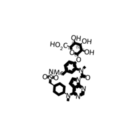 CNS(=O)(=O)C[C@H]1CC[C@H](N(C)c2ncnc3c2ccn3C(=O)N(C)c2cc(C)ccc2O[C@@H]2O[C@H](C(=O)O)[C@@H](O)[C@H](O)[C@H]2O)CC1